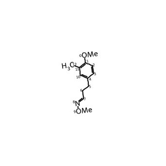 [CH]Oc1ccc(CCC=NOC)cc1C